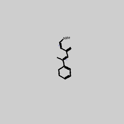 C=C(/C=C\NC)/C=C(\C)C1=CC=CCC1